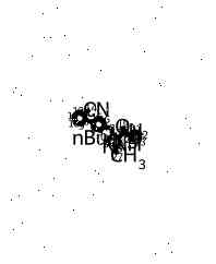 CCCCC1=C(Cc2ccc(-c3ccccc3C#N)cc2)C(C(=O)c2nccs2)NC(C)=N1